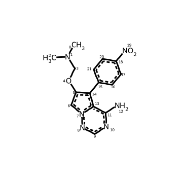 CN(C)COc1cn2ncnc(N)c2c1-c1ccc([N+](=O)[O-])cc1